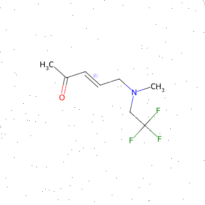 CC(=O)/C=C/CN(C)CC(F)(F)F